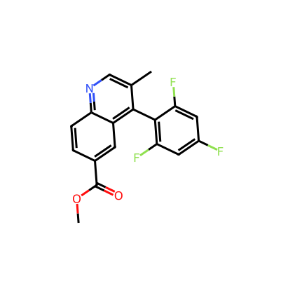 COC(=O)c1ccc2ncc(C)c(-c3c(F)cc(F)cc3F)c2c1